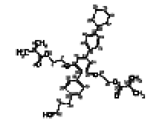 C=C(C)C(=O)OCCOc1cc(-c2ccc(C3CCCCC3)cc2)cc(OCCOC(=O)C(=C)C)c1-c1ccc(CCCO)cc1